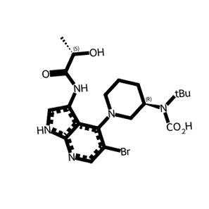 C[C@H](O)C(=O)Nc1c[nH]c2ncc(Br)c(N3CCC[C@@H](N(C(=O)O)C(C)(C)C)C3)c12